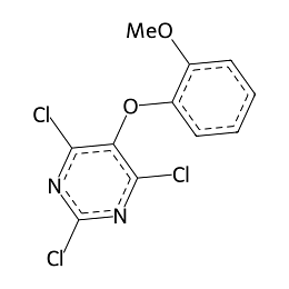 COc1ccccc1Oc1c(Cl)nc(Cl)nc1Cl